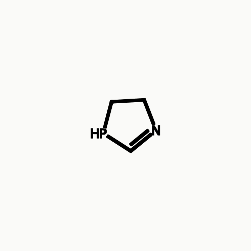 C1=NCCP1